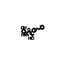 Cc1[nH]c2ccc(O)cc2c1C(=O)N(CC(C)C)C1CCN(CCc2ccccc2)CC1.Cl